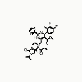 CCC(=O)[C@H]1[C@@H]2CN(C(C)C)C(=O)N2CCN1CC1=C(C(=O)OC)[C@H](c2ccc(F)c(F)c2C)N=C(c2nccs2)N1